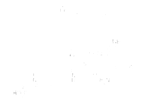 NC(=O)c1[nH]c2ccc(Br)cc2c1S(=O)(=O)NCCNC(=O)O